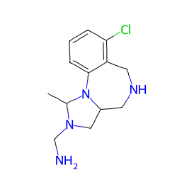 CC1N(CN)CC2CNCc3c(Cl)cccc3N21